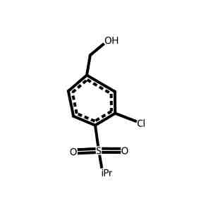 CC(C)S(=O)(=O)c1ccc(CO)cc1Cl